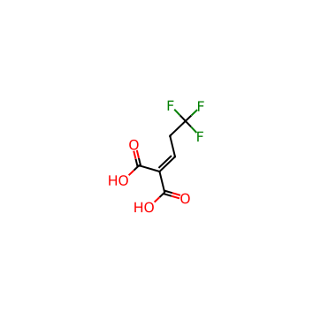 O=C(O)C(=CCC(F)(F)F)C(=O)O